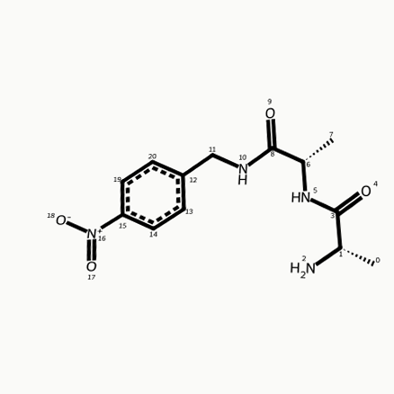 C[C@H](N)C(=O)N[C@@H](C)C(=O)NCc1ccc([N+](=O)[O-])cc1